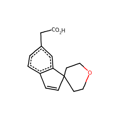 O=C(O)Cc1ccc2c(c1)C1(C=C2)CCOCC1